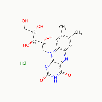 Cc1cc2nc3c(=O)[nH]c(=O)nc-3n(C[C@@H](O)[C@@H](O)[C@@H](O)CO)c2cc1C.Cl